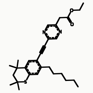 CCCCCCc1cc2c(cc1C#Cc1cnc(CC(=O)OCC)cn1)C(C)(C)CC(C)(C)S2